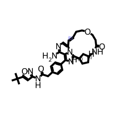 CC(C)(C)c1cc(NC(=O)Cc2ccc(-c3nc4n5c(cnc(N)c35)/C=C/CCOCCC(=O)N[C@@H]3CC[C@@H]4C3)cc2)no1